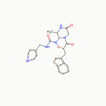 CC1NC(=O)CN2C(=O)C(Cc3csc4ccccc34)ON(C(=O)NCc3ccncc3)C12